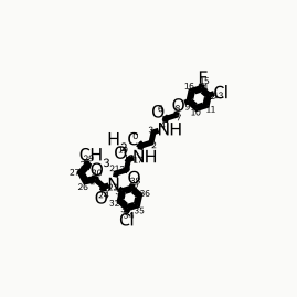 C=C(CCNC(=O)COc1ccc(Cl)c(F)c1)NC(=O)C1CN(C(=O)c2ccc(C)o2)c2cc(Cl)ccc2O1